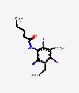 CC(=O)NCc1c(I)c(NC(=O)CCCC(=O)O)c(I)c(C(=O)O)c1I